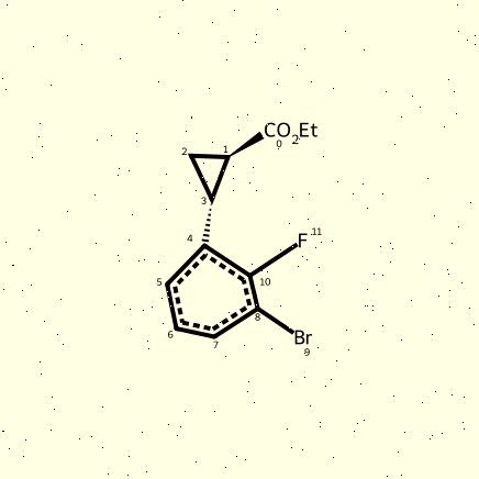 CCOC(=O)[C@@H]1C[C@H]1c1cccc(Br)c1F